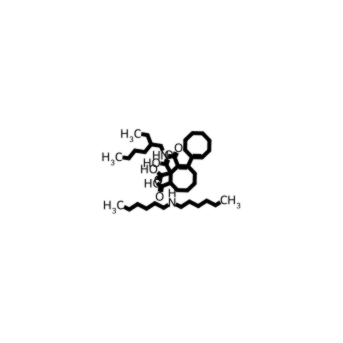 CCCCC(CC)CNC(=O)C1=C(C2=CCCCCCC2)CCCCC(C(=O)O)C1(C(=O)O)C(=O)O.CCCCCCNCCCCCC